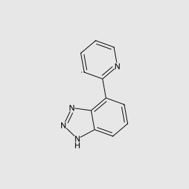 [c]1cccnc1-c1cccc2[nH]nnc12